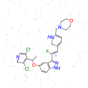 CC(Oc1ccc2[nH]nc(/C(F)=C/C3=CC=C(CN4CCOCC4)NC3)c2c1)c1c(Cl)cncc1Cl